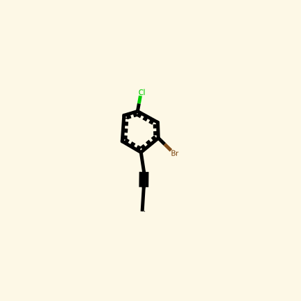 [CH2]C#Cc1ccc(Cl)cc1Br